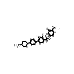 CC1CCC(c2ccc(-c3ccc(C(F)(F)Oc4ccc(OC(F)(F)F)c(F)c4)c(F)c3F)cc2)CC1